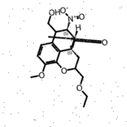 CCOCC1C[C@]23C=CC(=O)C[C@H]2[C@H]([N+](=O)[O-])C(CO)c2ccc(OC)c(c23)O1